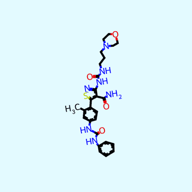 Cc1cc(NC(=O)Nc2ccccc2)ccc1-c1snc(NC(=O)NCCCN2CCOCC2)c1C(N)=O